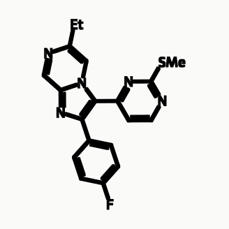 CCc1cn2c(-c3ccnc(SC)n3)c(-c3ccc(F)cc3)nc2cn1